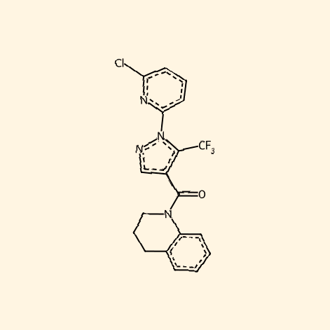 O=C(c1cnn(-c2cccc(Cl)n2)c1C(F)(F)F)N1CCCc2ccccc21